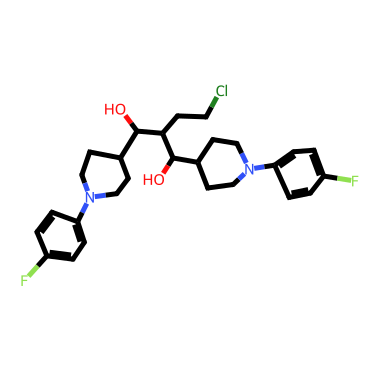 OC(C1CCN(c2ccc(F)cc2)CC1)C(CCCl)C(O)C1CCN(c2ccc(F)cc2)CC1